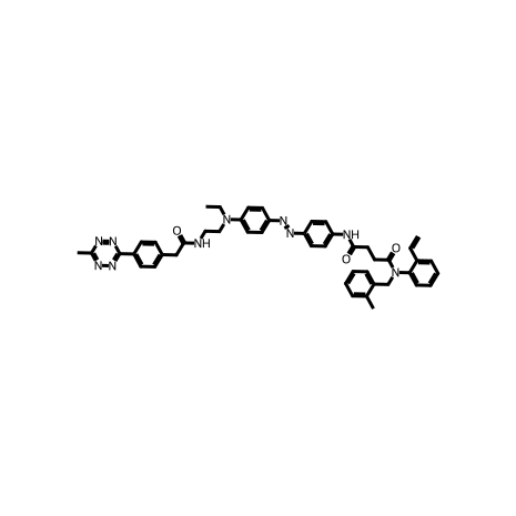 C=Cc1ccccc1N(Cc1ccccc1C)C(=O)CCC(=O)Nc1ccc(/N=N/c2ccc(N(CC)CCNC(=O)Cc3ccc(-c4nnc(C)nn4)cc3)cc2)cc1